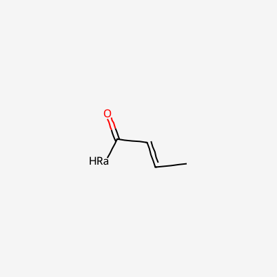 C/C=C/[C](=O)[RaH]